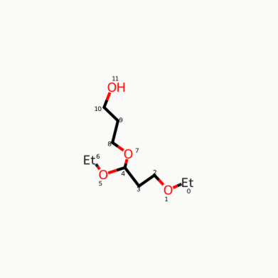 CCOCCC(OCC)OCCCO